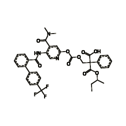 CCC(C)OC(=O)C(COC(=O)Oc1cc(C(=O)N(C)C)c(NC(=O)c2ccccc2-c2ccc(C(F)(F)F)cc2)cn1)(C(=O)O)c1ccccc1